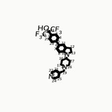 OC(c1ccc(-c2ccc3c(c2)CCN3C2CCN(Cc3ccncc3)CC2)cc1)(C(F)(F)F)C(F)(F)F